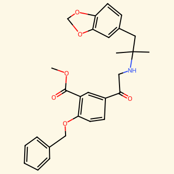 COC(=O)c1cc(C(=O)CNC(C)(C)Cc2ccc3c(c2)OCO3)ccc1OCc1ccccc1